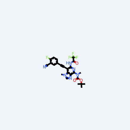 CN(C(=O)OC(C)(C)C)c1nc(NC(=O)C(F)(F)F)c(C#Cc2ccc(F)c(C#N)c2)c2c1ncn2C